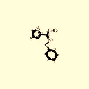 O=[C]/C(=N/Oc1ccccc1)c1ccco1